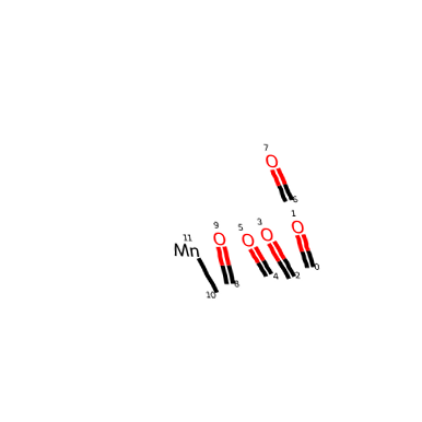 C=O.C=O.C=O.C=O.C=O.[CH3][Mn]